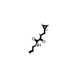 C=CCNC(=O)C(=O)CCC1CC1